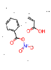 C=CC(=O)O.O=C(O[N+](=O)[O-])c1ccccc1